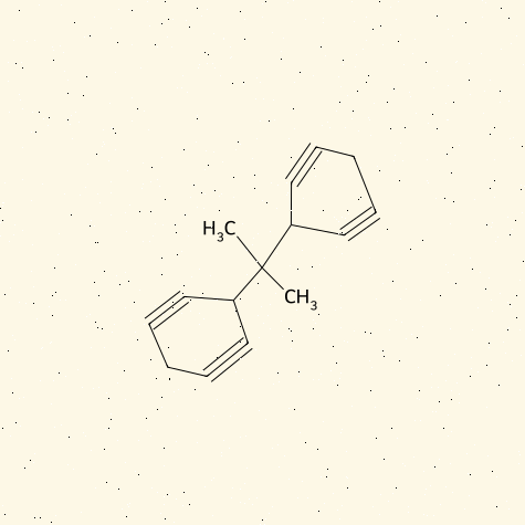 CC(C)(C1C#CCC#C1)C1C#CCC#C1